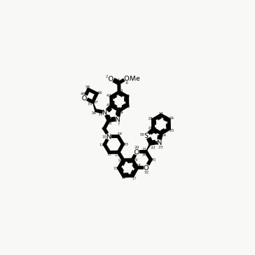 COC(=O)c1ccc2nc(CN3CCC(c4cccc5c4O[C@@H](c4nc6ccccc6s4)CO5)CC3)n(C[C@@H]3CCO3)c2c1